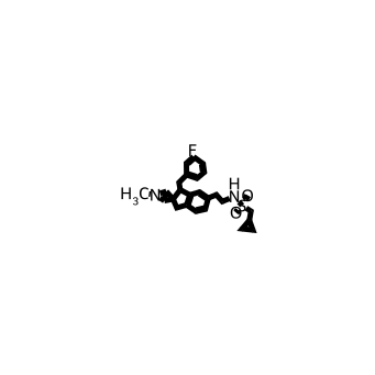 CN1C2C1C21Cc2ccc(CCNS(=O)(=O)CC3CC3)cc2C1Cc1cccc(F)c1